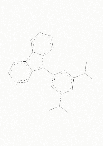 CC(C)c1cc(C(C)C)cc(-n2c3cnccc3c3ccncc32)c1